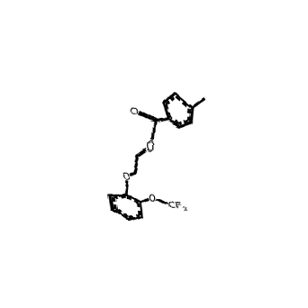 Cc1ccc(C(=O)OCCOc2ccccc2OC(F)(F)F)cc1